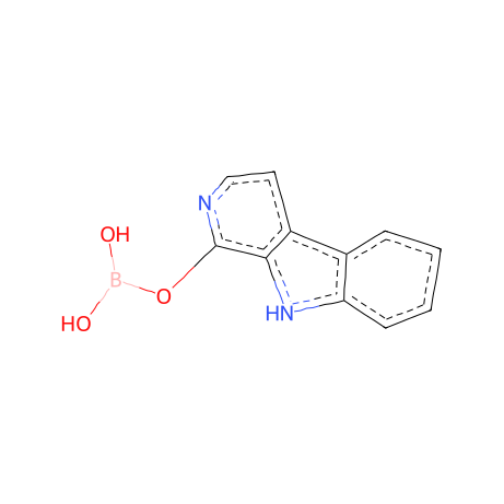 OB(O)Oc1nccc2c1[nH]c1ccccc12